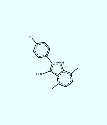 Cc1ccc(C)c2c(C=O)c(-c3ccc(Cl)cc3)[nH]c12